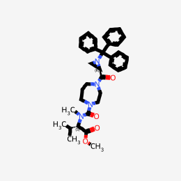 COC(=O)[C@H](C(C)C)N(C)C(=O)N1CCCN(C(=O)[C@H]2CN2C(c2ccccc2)(c2ccccc2)c2ccccc2)CC1